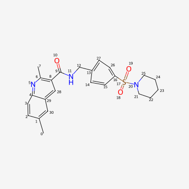 Cc1ccc2nc(C)c(C(=O)NCc3ccc(S(=O)(=O)N4CCCCC4)cc3)cc2c1